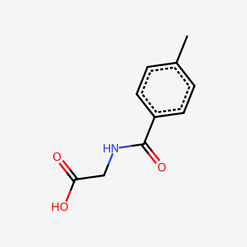 Cc1ccc(C(=O)NCC(=O)O)cc1